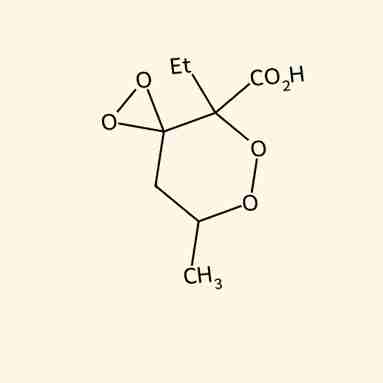 CCC1(C(=O)O)OOC(C)CC12OO2